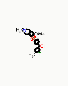 COc1cc2c(cc1S(=O)(=O)c1ccc(C(O)c3ccc(C)c(F)c3)cc1)CCN(C)CC2